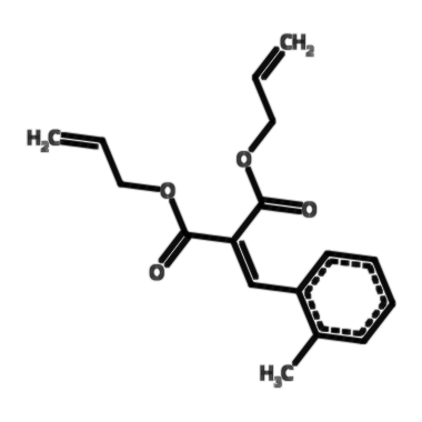 C=CCOC(=O)C(=Cc1ccccc1C)C(=O)OCC=C